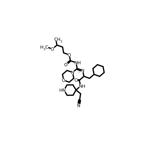 COC(C)CCOC(=O)N/C(=N/C(CC1CCCCC1)C(=O)NC1(CC#N)CCNCC1)N1CCOCC1